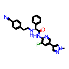 Cn1cc(-c2cnc(NC(=O)[C@H](NCCc3ccc(C#N)cc3)c3ccccc3)c(F)c2)cn1